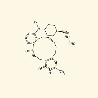 CCN(c1cccc2c1CC=CCCc1cc(C)[nH]c(=O)c1CNC2=O)[C@H]1CC[C@H](NC)CC1.O=CO